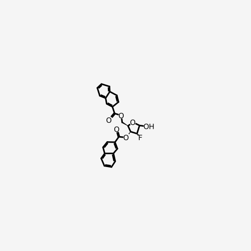 O=C(OC[C@H]1OC(O)[C@@H](F)[C@@H]1OC(=O)c1ccc2ccccc2c1)c1ccc2ccccc2c1